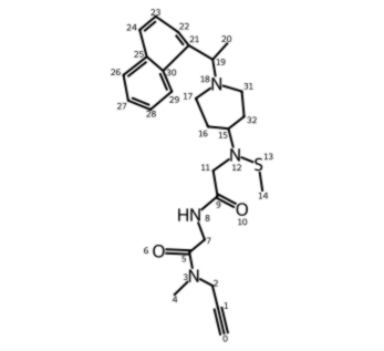 C#CCN(C)C(=O)CNC(=O)CN(SC)C1CCN(C(C)c2cccc3ccccc23)CC1